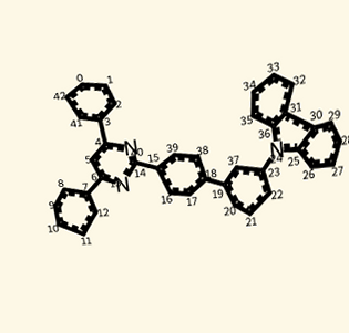 c1ccc(-c2cc(-c3ccccc3)nc(-c3ccc(-c4cccc(-n5c6ccccc6c6ccccc65)c4)cc3)n2)cc1